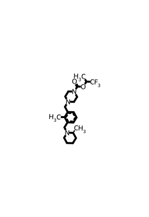 Cc1c(CN2CCN(C(=O)OC(C)C(F)(F)F)CC2)cccc1CN1CCCC[C@@H]1C